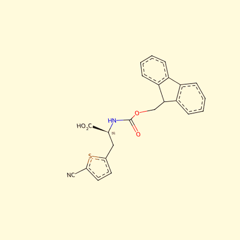 N#Cc1ccc(C[C@H](NC(=O)OCC2c3ccccc3-c3ccccc32)C(=O)O)s1